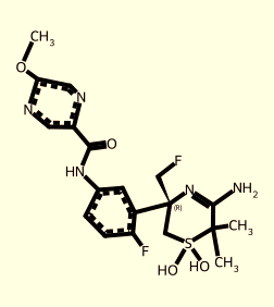 COc1cnc(C(=O)Nc2ccc(F)c([C@@]3(CF)CS(O)(O)C(C)(C)C(N)=N3)c2)cn1